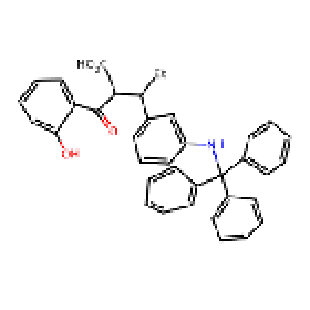 CCC(c1cccc(NC(c2ccccc2)(c2ccccc2)c2ccccc2)c1)C(C(=O)O)C(=O)c1ccccc1O